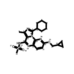 Cc1nc(C2CCCCC2)n2c1c(NS(C)(=O)=O)nc1ccc(OCC3CC3)nc12